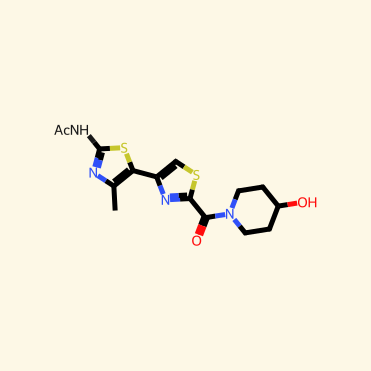 CC(=O)Nc1nc(C)c(-c2csc(C(=O)N3CCC(O)CC3)n2)s1